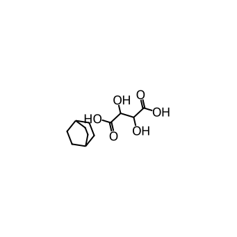 C1CC2CCC1CC2.O=C(O)C(O)C(O)C(=O)O